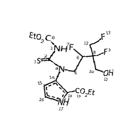 CCOC(=O)NC(=S)N(CC(F)C(F)(CO)CF)c1cc[nH]c1C(=O)OCC